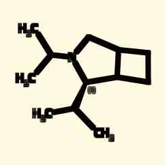 CC(C)[C@@H]1C2CCC2CN1C(C)C